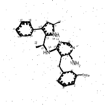 COc1cccc(Cc2c(N)ncnc2N[C@@H](C)c2[nH]c(C)cc2-c2ccccc2)c1